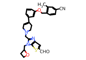 Cc1cc(C#N)ccc1COc1cccc(C2=CCN(Cc3nc4cc(C=O)sc4n3CC3CCO3)CC2)c1